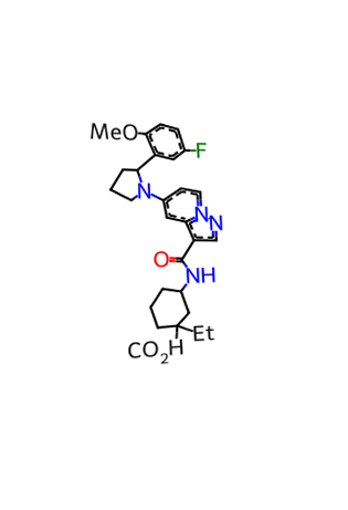 CCC1(C(=O)O)CCCC(NC(=O)c2cnn3ccc(N4CCCC4c4cc(F)ccc4OC)cc23)C1